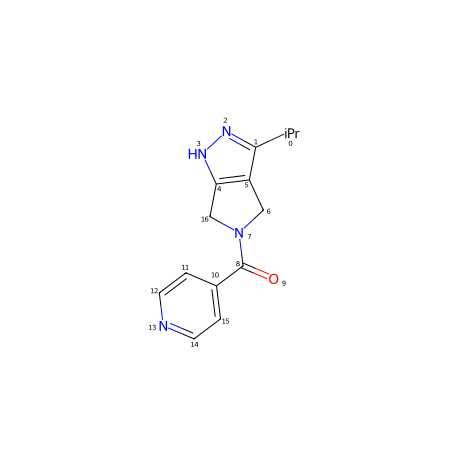 CC(C)c1n[nH]c2c1CN(C(=O)c1ccncc1)C2